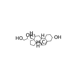 C[C@]12CC[C@H]3C(=CC=C4C[C@@H](O)CC[C@@]43C)[C@@H]1CC[C@@H]2C(O)CO